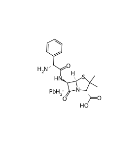 CC1(C)S[C@@H]2[C@H](NC(=O)[C@H](N)c3ccccc3)C(=O)N2[C@H]1C(=O)O.[PbH2]